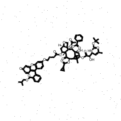 CC(=O)O[C@@]12CO[C@@H]1C[C@H](OC(=O)CCCOc1ccc3c(-c4ccccc4C(=O)OCC(C)C)c4ccc(=O)cc-4oc3c1)[C@@]1(C)C(=O)[C@H](OC(=O)C3CC3)C3=C(C)[C@@H](OC(=O)[C@H](O)[C@H](C=C(C)C)NC(=O)OC(C)(C)C)C[C@@](O)([C@@H](OC(=O)c4ccccc4)[C@H]21)C3(C)C